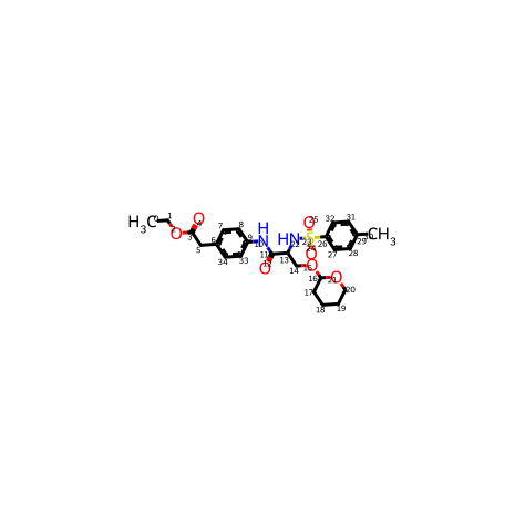 CCOC(=O)Cc1ccc(NC(=O)C(COC2CCCCO2)NS(=O)(=O)c2ccc(C)cc2)cc1